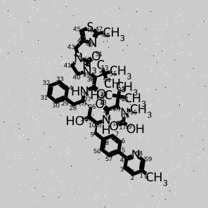 Cc1ccc(-c2ccc(C[C@H](NC(=O)[C@@H](N(C)C(=O)O)C(C)(C)C)[C@H](O)C[C@H](Cc3ccccc3)NC(=O)[C@@H](N3CCN(Cc4csc(C)n4)C3=O)C(C)(C)C)cc2)nc1